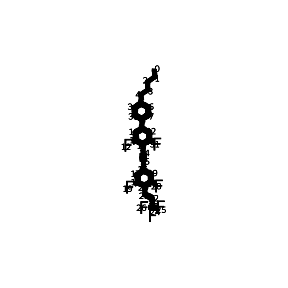 CCCCCc1ccc(-c2cc(F)c(C#Cc3cc(F)c(/C=C/C(F)(F)F)c(F)c3)c(F)c2)cc1